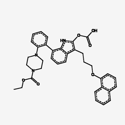 CCOC(=O)N1CCN(c2ccccc2-c2cccc3c(CCCOc4cccc5ccccc45)c(OC(=O)O)[nH]c23)CC1